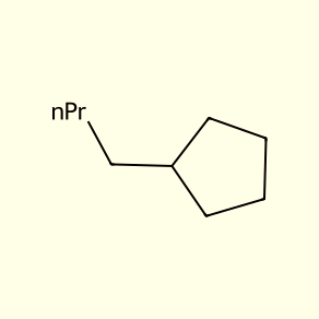 CCCCC1CCCC1